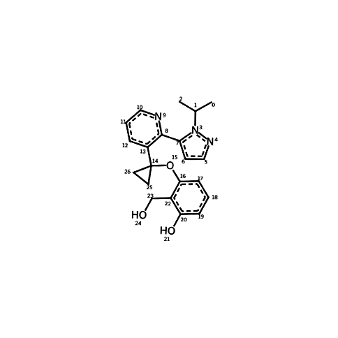 CC(C)n1nccc1-c1ncccc1C1(Oc2cccc(O)c2CO)CC1